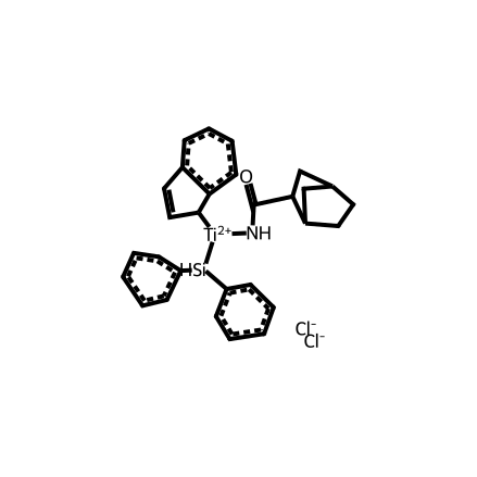 O=C([NH][Ti+2]([CH]1C=Cc2ccccc21)[SiH](c1ccccc1)c1ccccc1)C1CC2CCC1C2.[Cl-].[Cl-]